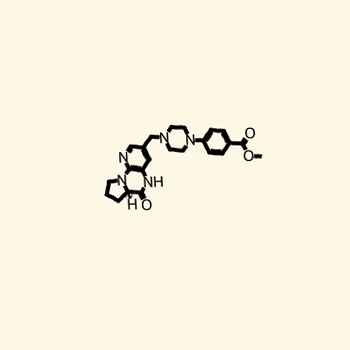 COC(=O)c1ccc(N2CCN(Cc3cnc4c(c3)NC(=O)[C@@H]3CCCN43)CC2)cc1